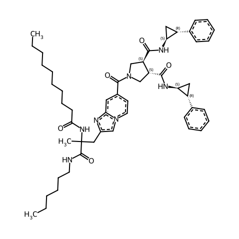 CCCCCCCCCC(=O)NC(C)(Cc1cn2ccc(C(=O)N3C[C@@H](C(=O)N[C@H]4C[C@@H]4c4ccccc4)[C@H](C(=O)N[C@H]4C[C@@H]4c4ccccc4)C3)cc2n1)C(=O)NCCCCCC